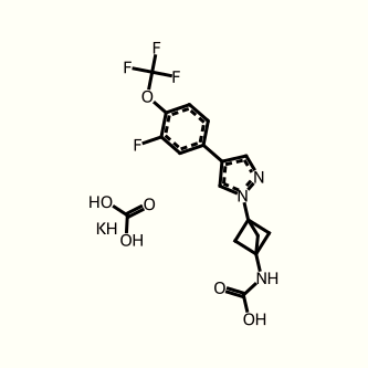 O=C(O)NC12CC(n3cc(-c4ccc(OC(F)(F)F)c(F)c4)cn3)(C1)C2.O=C(O)O.[KH]